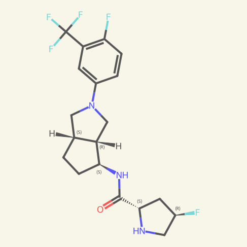 O=C(N[C@H]1CC[C@@H]2CN(c3ccc(F)c(C(F)(F)F)c3)C[C@@H]21)[C@@H]1C[C@@H](F)CN1